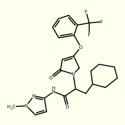 Cn1ccc(NC(=O)C(CC2CCCCC2)N2CC(Oc3ccccc3C(F)(F)F)=CC2=O)n1